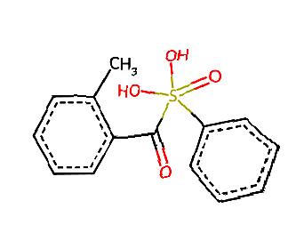 Cc1ccccc1C(=O)S(=O)(O)(O)c1ccccc1